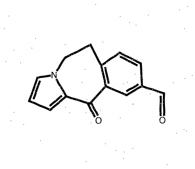 O=Cc1ccc2c(c1)C(=O)c1cccn1CC2